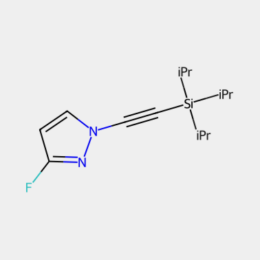 CC(C)[Si](C#Cn1ccc(F)n1)(C(C)C)C(C)C